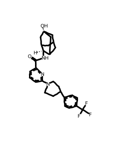 O=C(N[C@H]1C2CC3CC1C[C@](O)(C3)C2)c1cccc(N2CCC(c3ccc(C(F)(F)F)cc3)CC2)n1